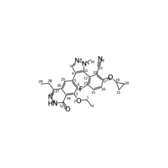 CCOc1cc(-c2cnn(C)c2-c2c(F)ccc(OC3CC3)c2C#N)cc2c(CC)n[nH]c(=O)c12